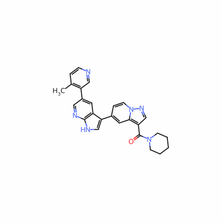 Cc1ccncc1-c1cnc2[nH]cc(-c3ccn4ncc(C(=O)N5CCCCC5)c4c3)c2c1